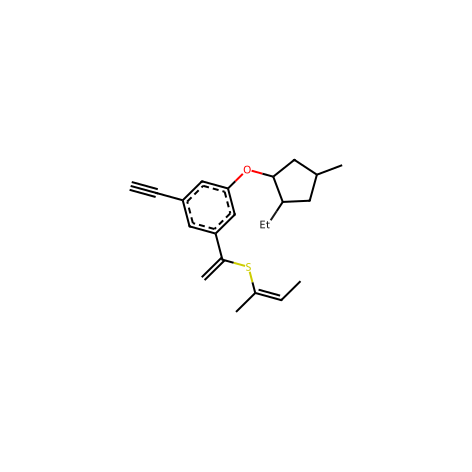 C#Cc1cc(OC2CC(C)CC2CC)cc(C(=C)S/C(C)=C\C)c1